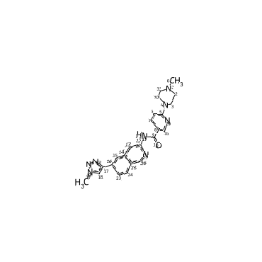 CN1CCN(c2ccc(C(=O)Nc3cc4cc(-c5cn(C)nn5)ccc4cn3)cn2)CC1